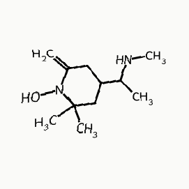 C=C1CC(C(C)NC)CC(C)(C)N1O